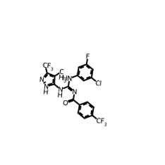 Cc1c(C(F)(F)F)n[nH]c1N/C(=N\C(=O)c1ccc(C(F)(F)F)cc1)Nc1cc(F)cc(Cl)c1